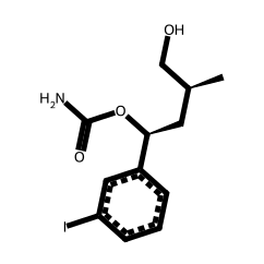 C[C@H](CO)C[C@H](OC(N)=O)c1cccc(I)c1